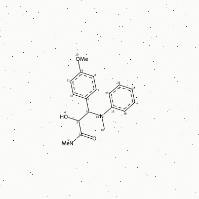 CNC(=O)C(O)C(c1ccc(OC)cc1)N(C)c1ccccc1